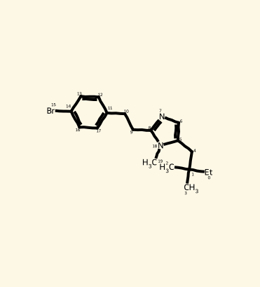 CCC(C)(C)Cc1cnc(CCc2ccc(Br)cc2)n1C